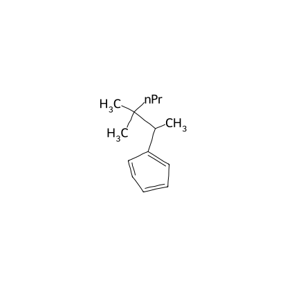 CCCC(C)(C)C(C)c1ccccc1